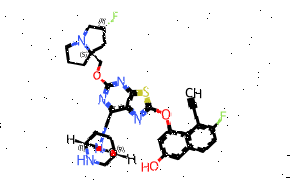 C#Cc1c(F)ccc2cc(O)cc(Oc3nc4c(N5C[C@@H]6CC[C@H](C5)NC6)nc(OC[C@@]56CCCN5C[C@H](F)C6)nc4s3)c12